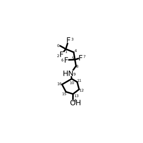 CC(F)(F)CC(F)(F)CNC1CCC(O)CC1